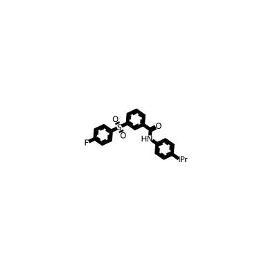 CC(C)c1ccc(NC(=O)c2cccc(S(=O)(=O)c3ccc(F)cc3)c2)cc1